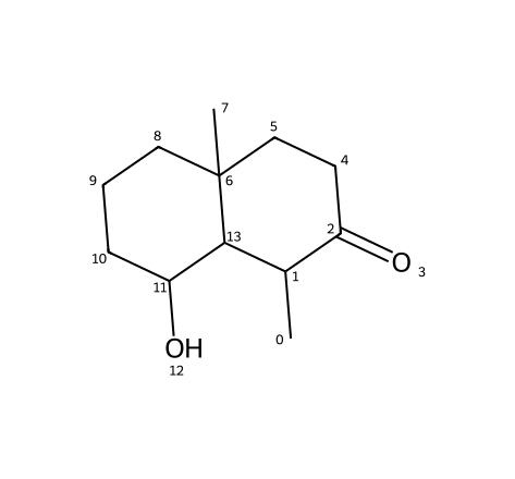 CC1C(=O)CCC2(C)CCCC(O)C12